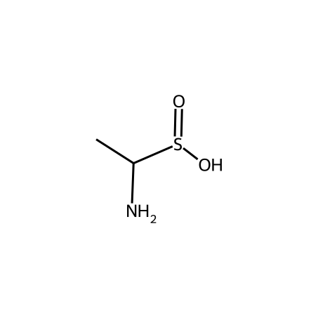 CC(N)S(=O)O